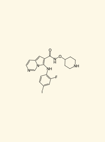 O=C(NOC1CCNCC1)c1cc2ccncn2c1Nc1ccc(I)cc1F